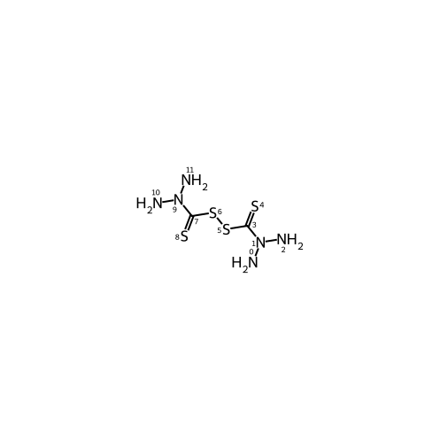 NN(N)C(=S)SSC(=S)N(N)N